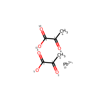 CC(=O)C(=O)[O-].CC(=O)C(=O)[O-].[Pb+2]